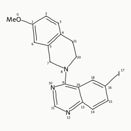 COc1ccc2c(c1)CN(c1ncnc3ccc(I)cc13)CC2